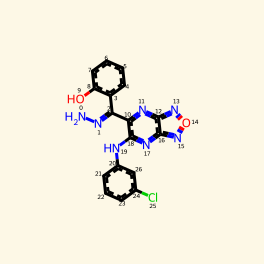 N/N=C(\c1ccccc1O)c1nc2nonc2nc1Nc1cccc(Cl)c1